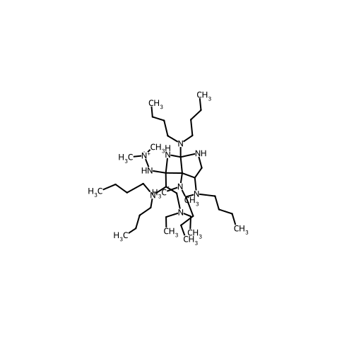 CCCCN(CCCC)[C](CN(CC)CC)C1(N[N+](C)C)NC2(N(CCCC)CCCC)NCC(N(CCCC)CCCC)C12N(C)C